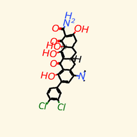 CN(C)c1cc(-c2ccc(Cl)c(Cl)c2)c(O)c2c1C[C@H]1CC3CC(O)=C(C(N)=O)C(=O)[C@@]3(O)C(O)=C1C2=O